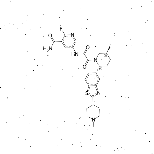 C[C@H]1CC[C@H](c2ccc3sc(C4CCN(C)CC4)nc3c2)N(C(=O)C(=O)Nc2cnc(F)c(C(N)=O)c2)C1